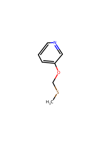 CSCOc1cccnc1